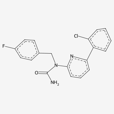 NC(=O)N(Cc1ccc(F)cc1)c1cccc(-c2ccccc2Cl)n1